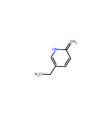 C=C1C=CC(CC)=CN1